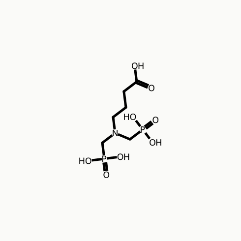 O=C(O)CCCN(CP(=O)(O)O)CP(=O)(O)O